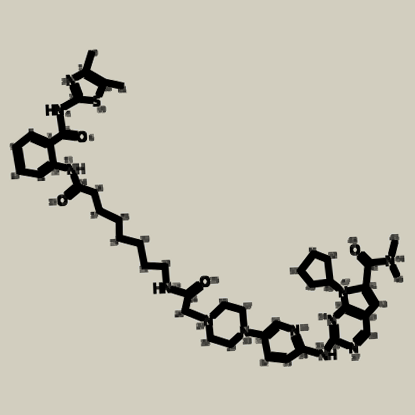 Cc1nc(NC(=O)c2ccccc2NC(=O)CCCCCCCNC(=O)CN2CCN(c3ccc(Nc4ncc5cc(C(=O)N(C)C)n(C6CCCC6)c5n4)nc3)CC2)sc1C